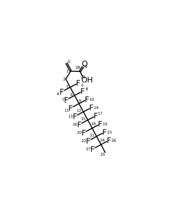 C=C(CC(F)(F)C(F)(F)C(F)(F)C(F)(F)C(F)(F)C(F)(F)C(F)(F)C(C)(F)F)C(=O)O